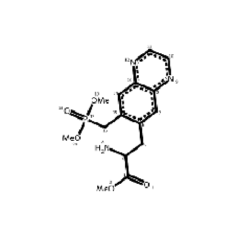 COC(=O)C(N)Cc1cc2nccnc2cc1CP(=O)(OC)OC